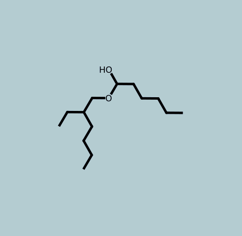 CCCCCC(O)OCC(CC)CCCC